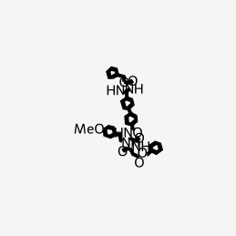 COc1ccc(CCNC(=O)C(CC(=O)OCc2ccccc2)NC(=O)CNC(=O)c2ccc(-c3ccc(C(=N)NC(=O)OCc4ccccc4)cc3)cc2)cc1